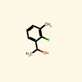 C[C](O)c1cccc(C)c1F